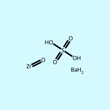 O=S(=O)(O)O.[BaH2].[O]=[Zr]